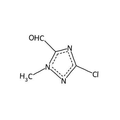 Cn1nc(Cl)nc1C=O